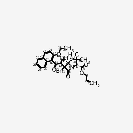 C=CCOC(=O)[C@@H]1N2C(=O)C(Br)(C(O)C(=O)c3c(OCC)ccc4ccccc34)[C@H]2SC1(C)C